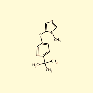 Cn1cncc1Sc1ccc(C(C)(C)C)cc1